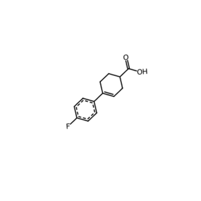 O=C(O)C1CC=C(c2ccc(F)cc2)CC1